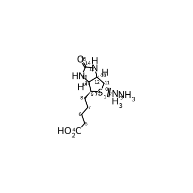 C=C.N.N.O=C(O)CCCC[C@@H]1SC[C@@H]2NC(=O)N[C@@H]21